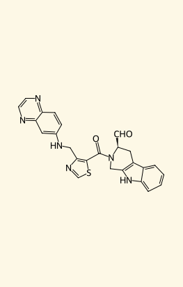 O=C[C@H]1Cc2c([nH]c3ccccc23)CN1C(=O)c1scnc1CNc1ccc2nccnc2c1